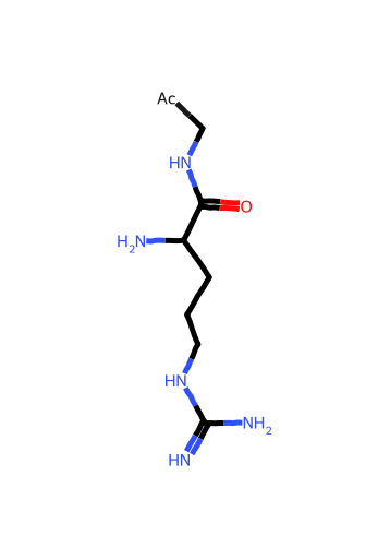 CC(=O)CNC(=O)C(N)CCCNC(=N)N